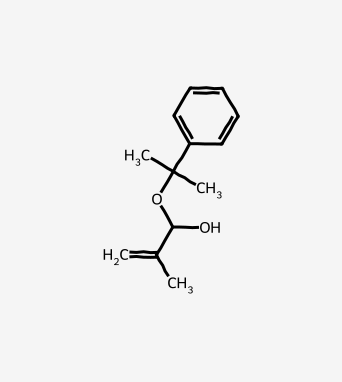 C=C(C)C(O)OC(C)(C)c1ccccc1